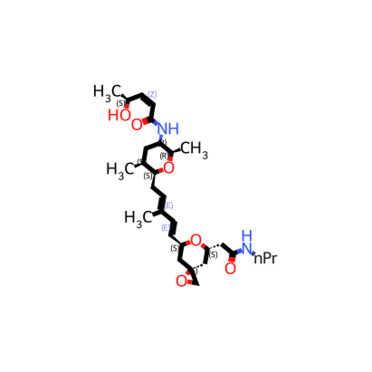 CCCNC(=O)C[C@@H]1C[C@@]2(CO2)C[C@@H](/C=C/C(C)=C/C[C@@H]2O[C@H](C)[C@H](NC(=O)/C=C\[C@H](C)O)C[C@@H]2C)O1